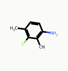 Cc1ccc(N)c(C#N)c1F